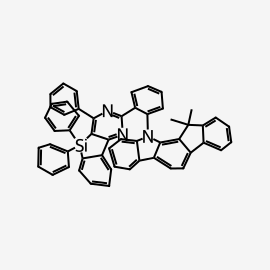 CC1(C)c2ccccc2-c2ccc3c4ccccc4n(-c4ccccc4-c4nc(-c5ccccc5)c5c(n4)-c4ccccc4[Si]5(c4ccccc4)c4ccccc4)c3c21